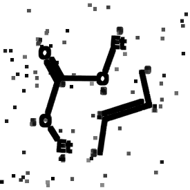 CC=CC.CCOC(=O)OCC